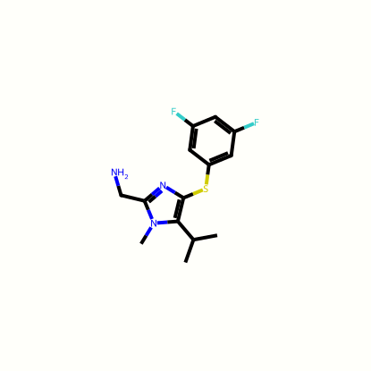 CC(C)c1c(Sc2cc(F)cc(F)c2)nc(CN)n1C